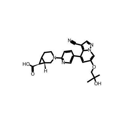 CC(C)(O)COc1cc(-c2ccc(N3CCC4[C@H](C3)[C@H]4C(=O)O)nc2)c2c(C#N)cnn2c1